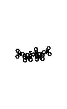 c1ccc(N(c2ccccc2)c2ccc3c(c2)oc2c4c5c(cc23)Sc2cc3c(cc2B5c2ccccc2N4c2ccccc2)B2c4ccccc4N(c4ccccc4)c4c2c(cc2c4oc4cc(N(c5ccccc5)c5ccccc5)ccc42)N3c2ccccc2)cc1